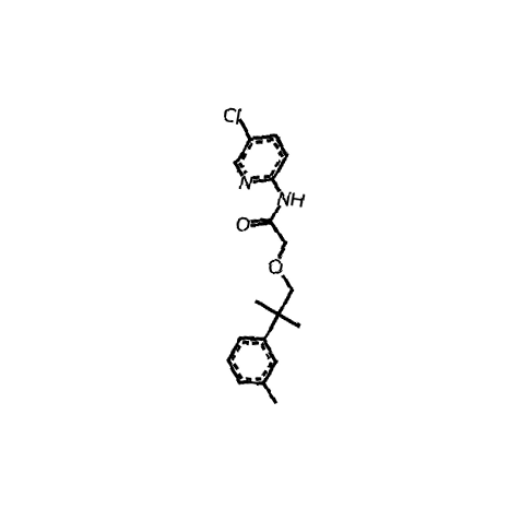 Cc1cccc(C(C)(C)COCC(=O)Nc2ccc(Cl)cn2)c1